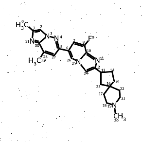 Cc1cn2nc(-c3cc(F)c4nc(C5CCC6(CCN(C)CC6)C5)cn4c3)cc(C)c2n1